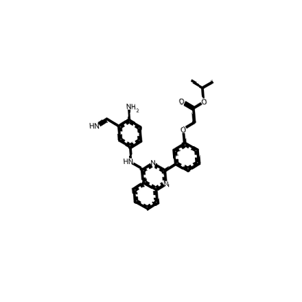 CC(C)OC(=O)COc1cccc(-c2nc(Nc3ccc(N)c(C=N)c3)c3ccccc3n2)c1